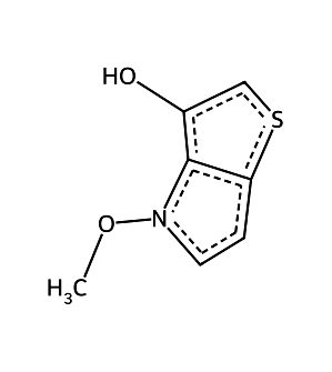 COn1ccc2scc(O)c21